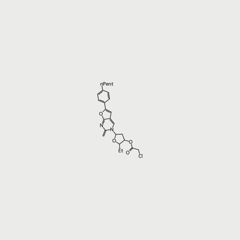 C=C1N=c2oc(-c3ccc(CCCCC)cc3)cc2=CN1C1CC(OC(=O)CCl)C(CC)O1